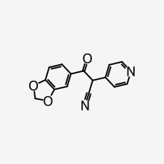 N#CC(C(=O)c1ccc2c(c1)OCO2)c1ccncc1